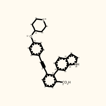 O=C(O)c1cccc(C#Cc2ccc(OC3CCSCC3)cc2)c1-c1ccc2cc[nH]c2c1